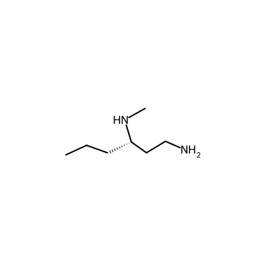 CCC[C@@H](CCN)NC